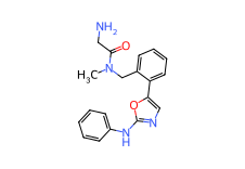 CN(Cc1ccccc1-c1cnc(Nc2ccccc2)o1)C(=O)CN